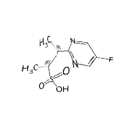 C[C@H](c1ncc(F)cn1)[C@@H](C)S(=O)(=O)O